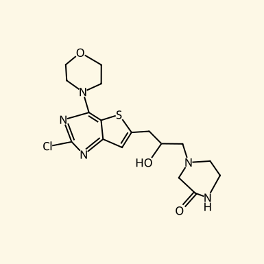 O=C1CN(CC(O)Cc2cc3nc(Cl)nc(N4CCOCC4)c3s2)CCN1